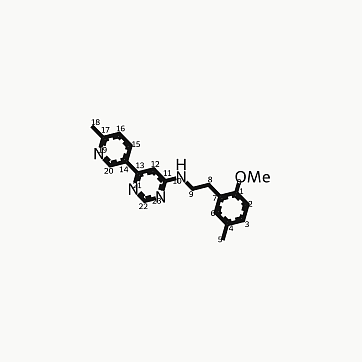 COc1ccc(C)cc1CCNc1cc(-c2ccc(C)nc2)ncn1